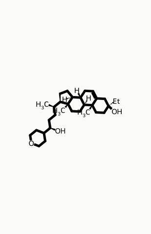 CC[C@]1(O)CC[C@@]2(C)C(=CC[C@H]3[C@@H]4CC[C@H]([C@H](C)CC[C@@H](O)C5CCOCC5)[C@@]4(C)CC[C@@H]32)C1